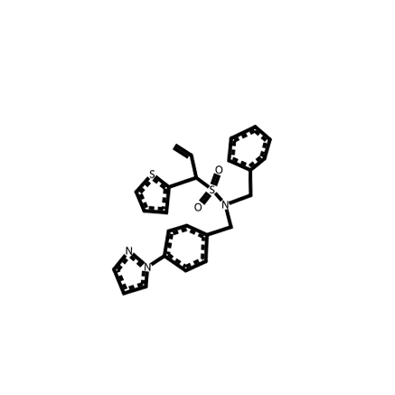 C=CC(c1cccs1)S(=O)(=O)N(Cc1ccccc1)Cc1ccc(-n2cccn2)cc1